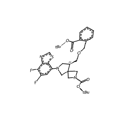 CC(C)(C)OC(=O)c1ccccc1COC[C@@H]1CN(c2cc(F)c(F)c3ncsc23)CC12CN(C(=O)OC(C)(C)C)C2